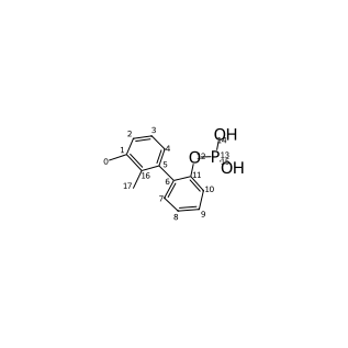 Cc1cccc(-c2ccccc2OP(O)O)c1C